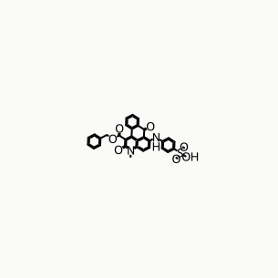 Cn1c(=O)c(C(=O)OCc2ccccc2)c2c3c(c(Nc4ccc(S(=O)(=O)O)cc4)ccc31)C(=O)c1ccccc1-2